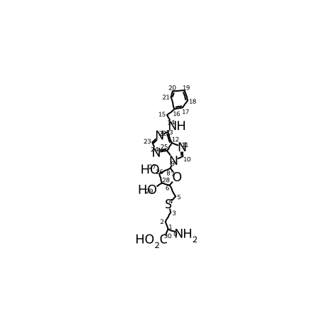 NC(CCSCC1OC(n2cnc3c(NCc4ccccc4)ncnc32)C(O)C1O)C(=O)O